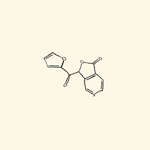 O=C1OC(C(=O)c2ccco2)c2cnccc21